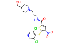 O=C(NCCCN1CCC(CO)CC1)c1cc([N+](=O)[O-])c(Sc2c(Cl)cncc2Cl)s1